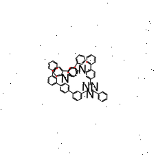 c1ccc(-c2cccc(-c3ccc(-c4cccc(-c5nc(-c6ccccc6)nc(-c6ccc(-c7ccccc7)c(-n7c8ccccc8c8ccccc87)c6)n5)c4)cc3-n3c4ccccc4c4ccccc43)c2)cc1